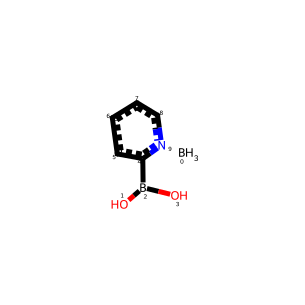 B.OB(O)c1ccccn1